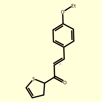 CCOc1ccc(/C=C/C(=O)C2CC=CS2)cc1